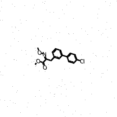 CON=C(Cc1cccc(-c2ccc(Cl)cc2)c1)C(=O)OC